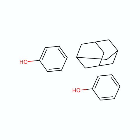 C1C2CC3CC1CC(C2)C3.Oc1ccccc1.Oc1ccccc1